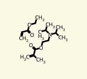 C=C(C)C(=O)OCCN(C(C)C)C(C)C.C=CC(=O)OCC